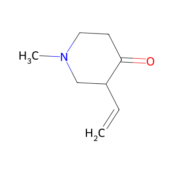 C=CC1CN(C)CCC1=O